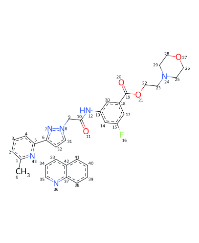 Cc1cccc(-c2nn(CC(=O)Nc3cc(F)cc(C(=O)OCCN4CCOCC4)c3)cc2-c2ccnc3ccccc23)n1